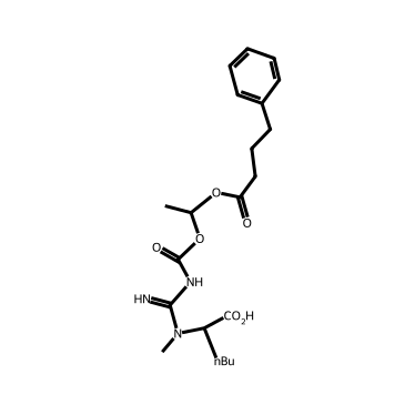 CCCCC(C(=O)O)N(C)C(=N)NC(=O)OC(C)OC(=O)CCCc1ccccc1